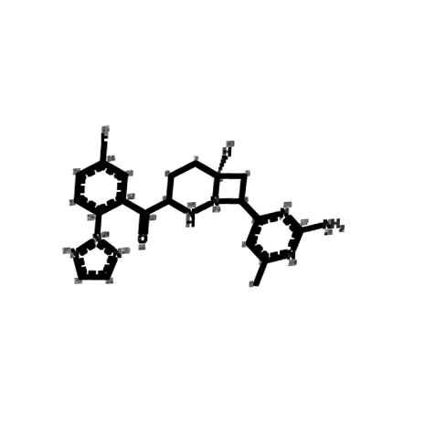 Cc1cc(C2C[C@@H]3CCC(C(=O)c4cc(F)ccc4-n4nccn4)NN23)nc(N)n1